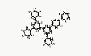 c1ccc(-c2ccc(-c3nc(-c4cc(-c5ccccc5)nc(-c5ccccc5)c4)nc(-c4ccccn4)n3)nc2)cc1